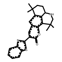 CC1(C)CCC2NCC(C)(C)c3c2c1cc1cc(-c2nc4ccccc4s2)c(=O)oc31